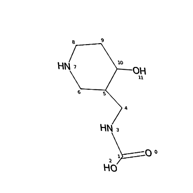 O=C(O)NCC1CNCCC1O